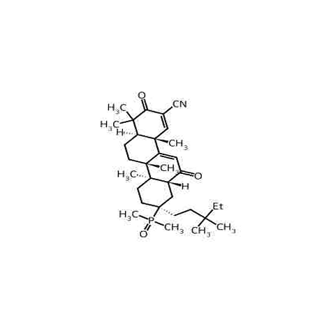 CCC(C)(C)CC[C@]1(P(C)(C)=O)CC[C@]2(C)[C@@H](C1)C(=O)C=C1[C@@]3(C)C=C(C#N)C(=O)C(C)(C)[C@@H]3CC[C@]12C